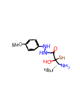 CCCC[C@@H](N)C(O)(S)C(=O)NNc1ccc(OC)cc1